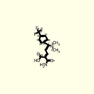 CN(C)C(=CC=C(C(N)=O)C(=O)O)c1ccc(C(F)(F)F)cc1